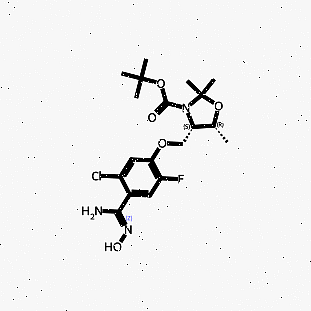 C[C@H]1OC(C)(C)N(C(=O)OC(C)(C)C)[C@H]1COc1cc(Cl)c(/C(N)=N/O)cc1F